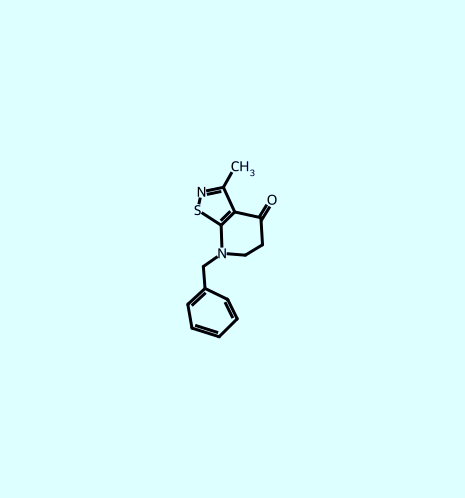 Cc1nsc2c1C(=O)CCN2Cc1ccccc1